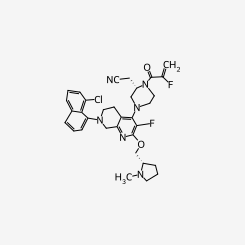 C=C(F)C(=O)N1CCN(c2c(F)c(OC[C@@H]3CCCN3C)nc3c2CCN(c2cccc4cccc(Cl)c24)C3)C[C@@H]1CC#N